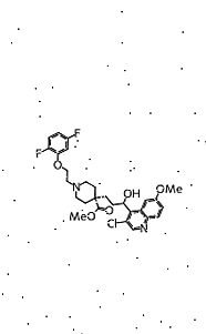 COC(=O)C1(CCC(O)c2c(Cl)cnc3ccc(OC)cc23)CCN(CCOc2cc(F)ccc2F)CC1